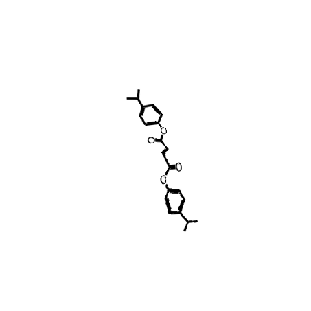 CC(C)c1ccc(OC(=O)/C=C/C(=O)Oc2ccc(C(C)C)cc2)cc1